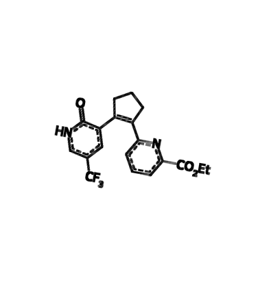 CCOC(=O)c1cccc(C2=C(c3cc(C(F)(F)F)c[nH]c3=O)CCC2)n1